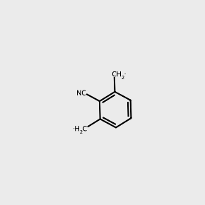 [CH2]c1cccc([CH2])c1C#N